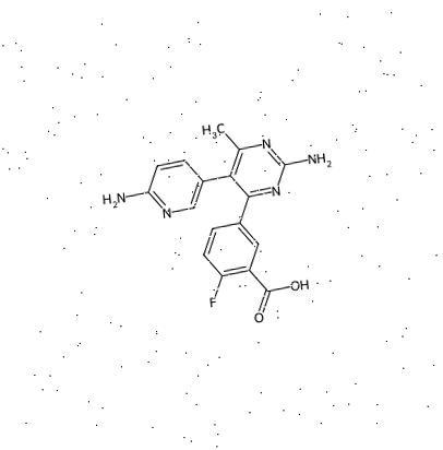 Cc1nc(N)nc(-c2ccc(F)c(C(=O)O)c2)c1-c1ccc(N)nc1